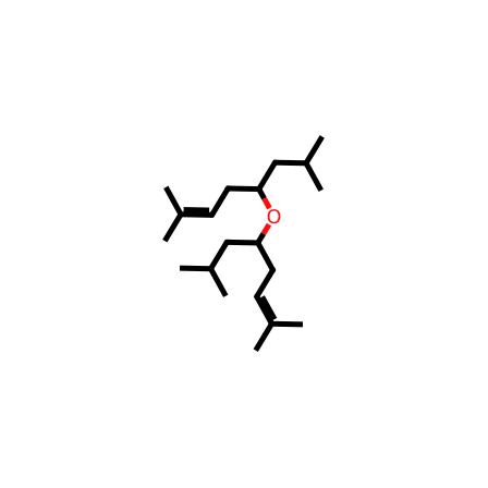 CC(C)=CCC(CC(C)C)OC(CC=C(C)C)CC(C)C